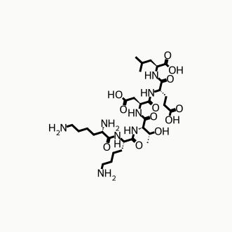 CC(C)C[C@H](NC(=O)[C@H](CCC(=O)O)NC(=O)[C@H](CC(=O)O)NC(=O)[C@@H](NC(=O)[C@H](CCCCN)NC(=O)[C@@H](N)CCCCN)[C@@H](C)O)C(=O)O